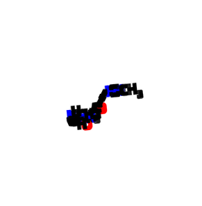 C[C@H]1[C@H](NC(=O)N2C=CC3OC(C#CCN4CCN(C)CC4)=CC3=C2)C2CCN1CC2